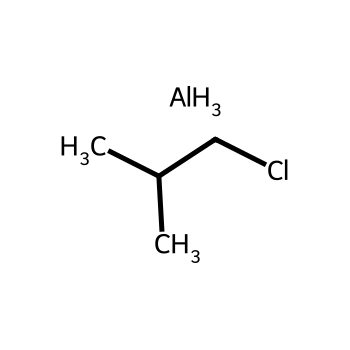 CC(C)CCl.[AlH3]